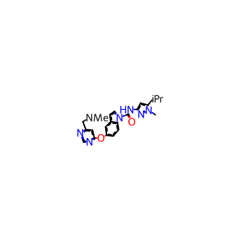 CNCc1cc(Oc2ccc3c(ccn3C(=O)Nc3cc(C(C)C)n(C)n3)c2)ncn1